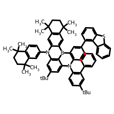 CC(C)(C)c1ccc(N2c3ccc(-c4cccc5sc6ccccc6c45)cc3B3c4cc5c(cc4N(c4ccc6c(c4)C(C)(C)CCC6(C)C)c4cc(C(C)(C)C)cc2c43)C(C)(C)CCC5(C)C)c(-c2ccccc2)c1